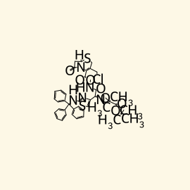 CC(C)(C)OC(=O)C(C)(C)O/N=C(\C(=O)NOC(=O)C1=C(CCl)CS[C@H]2CC(=O)N12)c1csc(NC(c2ccccc2)(c2ccccc2)c2ccccc2)n1